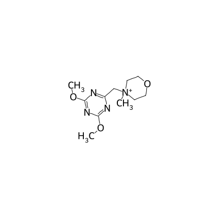 COc1nc(C[N+]2(C)CCOCC2)nc(OC)n1